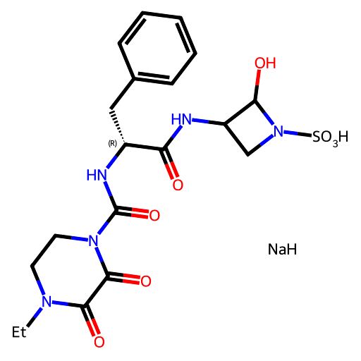 CCN1CCN(C(=O)N[C@H](Cc2ccccc2)C(=O)NC2CN(S(=O)(=O)O)C2O)C(=O)C1=O.[NaH]